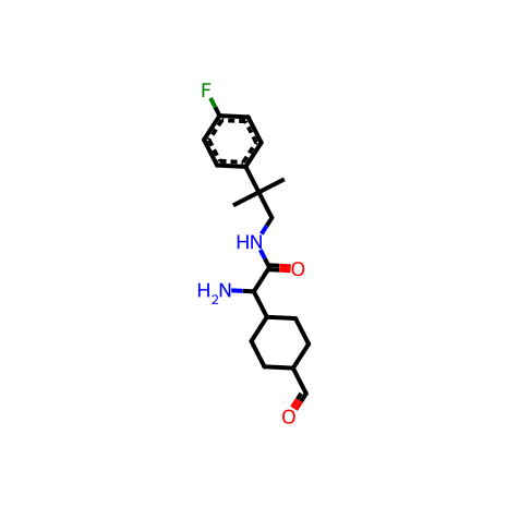 CC(C)(CNC(=O)C(N)C1CCC(C=O)CC1)c1ccc(F)cc1